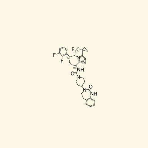 O=C(N[C@@H]1CC[C@@H](c2cccc(F)c2F)Cn2c(C3(C(F)(F)F)CC3)cnc21)N1CCC(N2CCc3ccccc3NC2=O)CC1